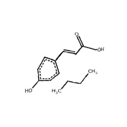 CCCC.O=C(O)C=Cc1ccc(O)cc1